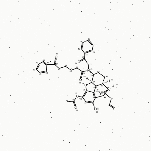 C=CCN1CC[C@]23c4c5c(O)cc(OC(C)=O)c4O[C@H]2[C@@H](N(CC(=O)c2ccccc2)C(=O)CCCCC(=O)c2ccccc2)CC[C@H]3[C@H]1C5